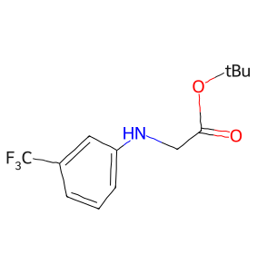 CC(C)(C)OC(=O)CNc1cccc(C(F)(F)F)c1